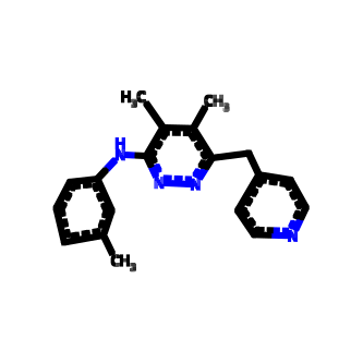 Cc1cccc(Nc2nnc(Cc3ccncc3)c(C)c2C)c1